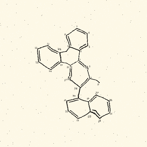 Cc1nc2c3ccccc3c3ccccc3c2nc1-c1cccc2ccccc12